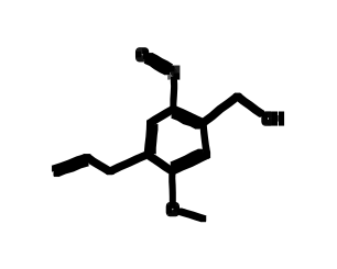 C=CCc1cc(N=O)c(CO)cc1OC